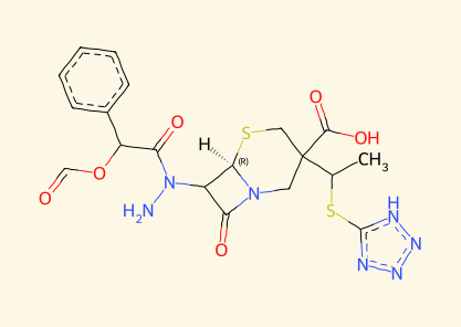 CC(Sc1nnn[nH]1)C1(C(=O)O)CS[C@@H]2C(N(N)C(=O)C(OC=O)c3ccccc3)C(=O)N2C1